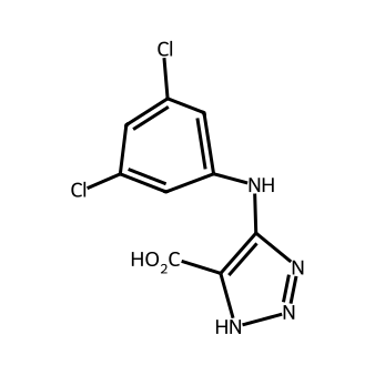 O=C(O)c1[nH]nnc1Nc1cc(Cl)cc(Cl)c1